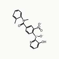 Cc1ccccc1N(C)C(=O)c1ccc([S+]([O-])c2ncccc2O)c([N+](=O)[O-])c1